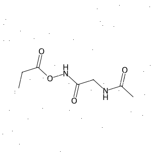 CCC(=O)ONC(=O)CNC(C)=O